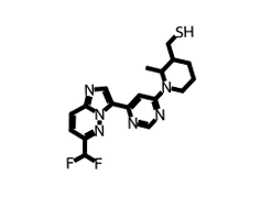 CC1C(CS)CCCN1c1cc(-c2cnc3ccc(C(F)F)nn23)ncn1